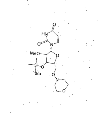 COC1C(O[Si](C)(C)C(C)(C)C)[C@@H](CON2CCOCC2)O[C@H]1n1ccc(=O)[nH]c1=O